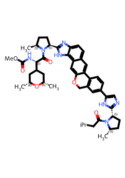 COC(=O)N[C@H](C(=O)N1[C@@H](C)CC[C@H]1c1nc2ccc3cc4c(cc3c2[nH]1)OCc1cc(-c2cnc([C@@H]3CC[C@H](C)N3C(=O)[CH]C(C)C)[nH]2)ccc1-4)C1C[C@@H](C)O[C@@H](C)C1